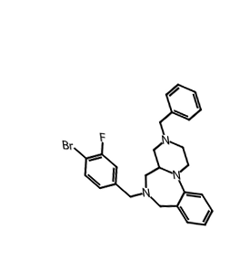 Fc1cc(CN2Cc3ccccc3N3CCN(Cc4ccccc4)CC3C2)ccc1Br